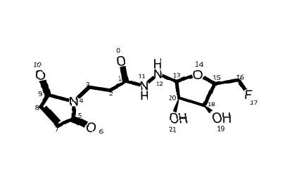 O=C(CCN1C(=O)C=CC1=O)NNC1OC(CF)[C@@H](O)[C@H]1O